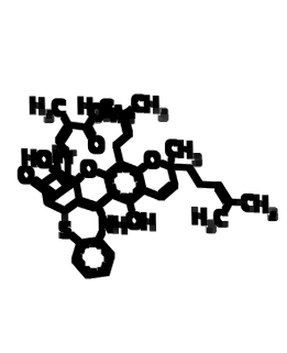 COC(=O)/C(C)=C\CC1(O)C(=O)C2CC(C(C)C)C13Oc1c(CC=C(C)C)c4c(c(O)c1C1=C3C2Sc2ccccc2N1)C=CC(C)(CCC=C(C)C)O4